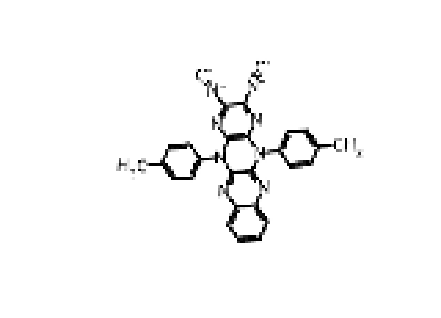 [C-]#[N+]c1nc2c(nc1[N+]#[C-])N(c1ccc(C)cc1)c1nc3ccccc3nc1N2c1ccc(C)cc1